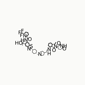 C=C1c2cccc(NCCC3CCN(C[C@H]4CC[C@H](c5nc6cc(C(C)(C)O)c(NC(=O)c7cccc(C(F)(F)F)n7)cc6s5)CC4)CC3)c2C(=O)N1C1CCC(=O)NC1=O